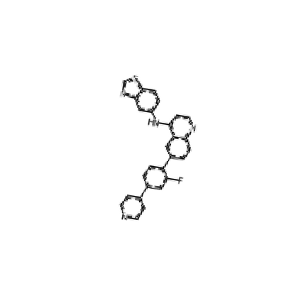 Fc1cc(-c2ccncc2)ccc1-c1ccc2nccc(Nc3ccc4scnc4c3)c2c1